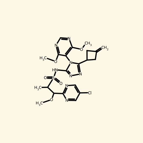 C=C1CC(c2nnc(NS(=O)(=O)C(C)C(OC)c3ncc(Cl)cn3)n2-c2c(OC)ncnc2OC)C1